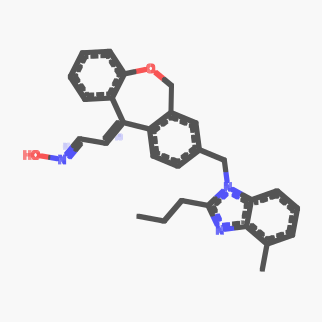 CCCc1nc2c(C)cccc2n1Cc1ccc2c(c1)COc1ccccc1/C2=C\C=N\O